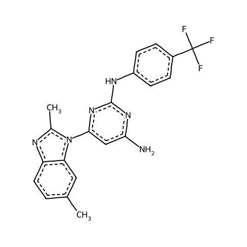 Cc1ccc2nc(C)n(-c3cc(N)nc(Nc4ccc(C(F)(F)F)cc4)n3)c2c1